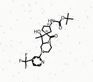 CC(C)(C)OC(=O)N[C@@H]1CC[C@@]2(C1)C(=O)N1CCN(c3cc(C(F)(F)F)ccn3)CC1C2(C)O